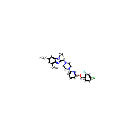 COc1cc(C(=O)O)cc2c1nc(CN1CCN(c3cccc(OCc4ccc(Cl)cc4F)n3)CC1)n2C